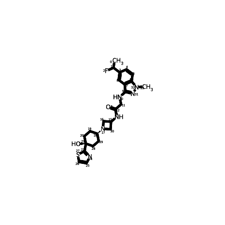 CC(F)c1ccc2c(c1)c(NCC(=O)NC1CN([C@H]3CC[C@@](O)(c4nccs4)CC3)C1)nn2C